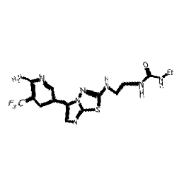 CCNC(=O)NCCNc1nn2c(-c3cnc(N)c(C(F)(F)F)c3)cnc2s1